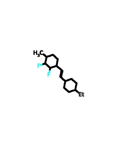 CCC1CCC(/C=C/C2CCC(C)C(F)C2F)CC1